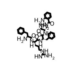 N=C(N)NCCC[C@@H](NC(=O)[C@@H](N)Cc1ccccc1)C(=O)N[C@@H](Cc1ccccc1)C(=O)N[C@@H](CNC(=O)c1ccccc1N)C(N)=O